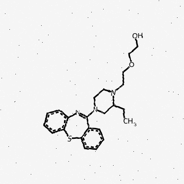 CCC1CN(C2=Nc3ccccc3Sc3ccccc32)CCN1CCOCCO